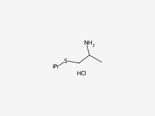 CC(N)CSC(C)C.Cl